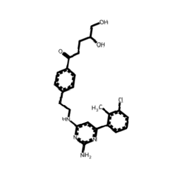 Cc1c(Cl)cccc1-c1cc(NCCc2ccc(C(=O)CCC(O)CO)cc2)nc(N)n1